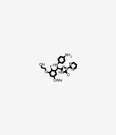 COc1cc(OCCO)c(F)c(C(Nc2ccc(N)cc2)c2nn(-c3ncccn3)c(=O)[nH]2)c1